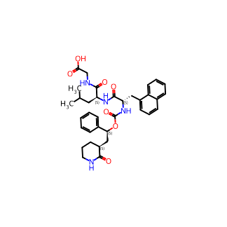 CC(C)C[C@H](NC(=O)[C@H](Cc1cccc2ccccc12)NC(=O)O[C@@H](C[C@@H]1CCCNC1=O)c1ccccc1)C(=O)NCC(=O)O